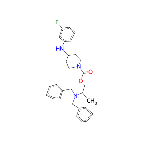 CC(COC(=O)N1CCC(Nc2cccc(F)c2)CC1)N(Cc1ccccc1)Cc1ccccc1